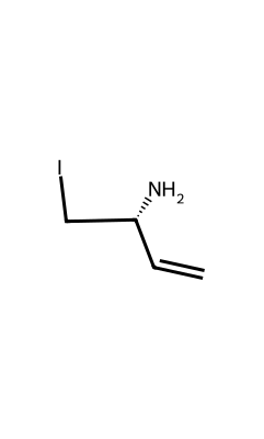 C=C[C@@H](N)CI